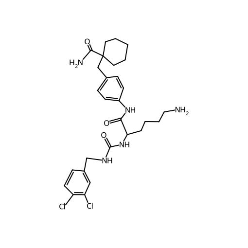 NCCCCC(NC(=O)NCc1ccc(Cl)c(Cl)c1)C(=O)Nc1ccc(CC2(C(N)=O)CCCCC2)cc1